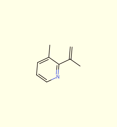 C=C(C)c1ncccc1C